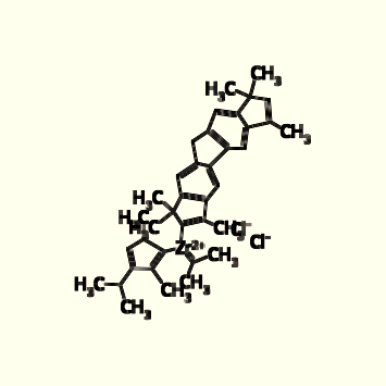 CC1=CC(C)(C)c2cc3c(cc21)-c1cc2c(cc1C3)C(C)(C)[C]([Zr+2]([C]1=C(C)C(C(C)C)=CC1C)=[C](C)C)=C2C.[Cl-].[Cl-]